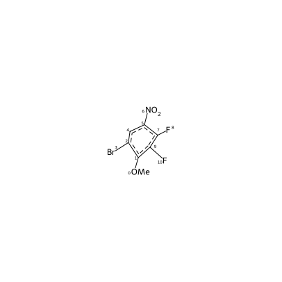 COc1c(Br)cc([N+](=O)[O-])c(F)c1F